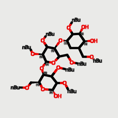 CCCCOCC1O[C@@H](O[C@H]2C(OCCCC)C(OCCCC)[C@H](O)O[C@H]2COCCCC)[C@@H](OCCCC)C(OCCCC)[C@H]1O[C@H]1CC(COCCCC)[C@H](O)[C@H](O)C1OCCCC